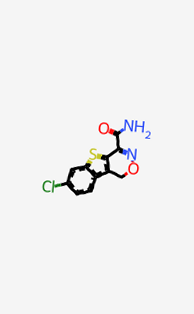 NC(=O)C1=NOCc2c1sc1cc(Cl)ccc21